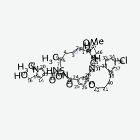 CO[C@H]1/C=C/C[C@H](C)CS(=O)(NC(=O)c2cc(CO)n(C)c2)=NC(=O)c2ccc3c(c2)N(Cc2ccc(Cl)cc2CCCCO3)C[C@@H]2CC[C@H]21